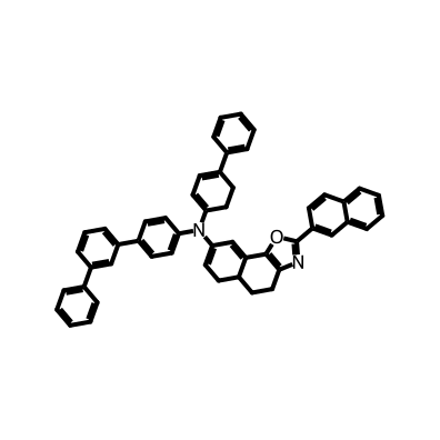 C1=C(c2ccccc2)CCC(N(C2=CCC3CCc4nc(-c5ccc6ccccc6c5)oc4C3=C2)c2ccc(-c3cccc(-c4ccccc4)c3)cc2)=C1